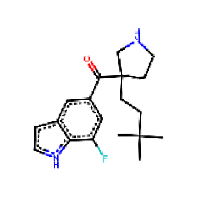 CC(C)(C)CCC1(C(=O)c2cc(F)c3[nH]ccc3c2)CCNC1